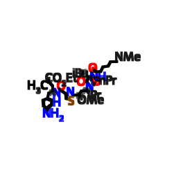 CCCOCN(C(=O)[C@@H](NC(=O)CCCCCNC)[C@@H](C)CC)[C@H](C[C@@H](OC)c1nc(C(=O)N[C@@H](Cc2ccc(N)cc2)CC(C)C(=O)OCC)cs1)C(C)C